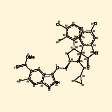 COC(=O)c1cc2c(OC[C@H]3C[C@H](c4cccc(Cl)c4F)[C@]4(C(=O)Nc5cc(Cl)ccc54)N3CC3CC3)[nH]nc2cc1F